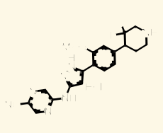 COc1cc(C2CCNCC2(F)F)ccc1-c1cc(Nc2cnc(C#N)cn2)n[nH]1.Cl